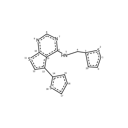 c1csc(CNc2ncnc3scc(-c4cccs4)c23)c1